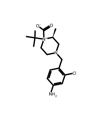 C[C@H]1CN(Cc2ccc(N)cc2Cl)CC[N+]1(C(=O)[O-])C(C)(C)C